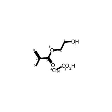 C=C(C)C(=O)OCCO.O=C(O)Cl